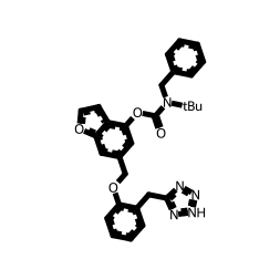 CC(C)(C)N(Cc1ccccc1)C(=O)Oc1cc(COc2ccccc2Cc2nn[nH]n2)cc2occc12